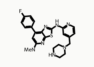 CNc1cc(-c2ccc(F)cc2)c2nc(Nc3cc(CN4CCNCC4)ccn3)sc2n1